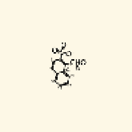 O=Cc1c(S(=O)(=O)[O-])ccc2ccccc12.[K+]